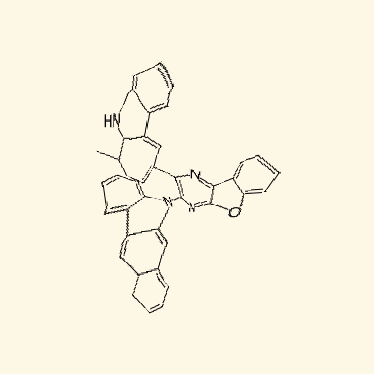 CC1CC=C(c2nc3c(nc2-n2c4c(c5ccccc52)=CC2CC=CC=C2C=4)oc2ccccc23)C=C2c3ccccc3NC21